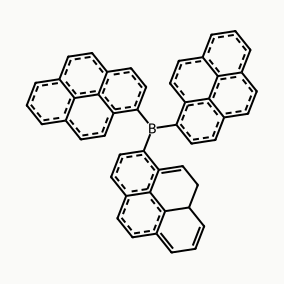 C1=CC2CC=c3c(B(c4ccc5ccc6cccc7ccc4c5c67)c4ccc5ccc6cccc7ccc4c5c67)ccc4ccc(c2c34)=C1